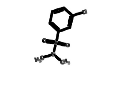 CN(C)S(=O)(=O)c1cccc(Cl)c1